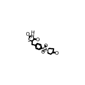 O=C1CCN(S(=O)(=O)c2ccc(CC3SC(=O)NC3=O)cc2)CC1